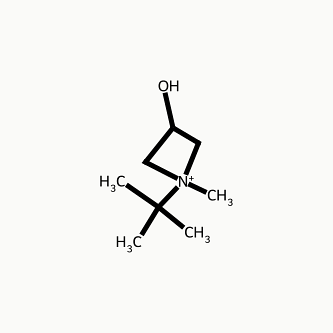 CC(C)(C)[N+]1(C)CC(O)C1